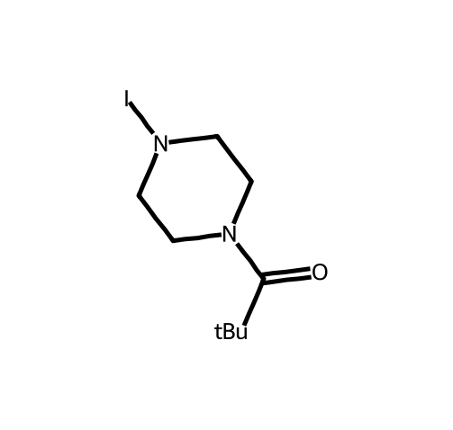 CC(C)(C)C(=O)N1CCN(I)CC1